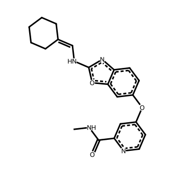 CNC(=O)c1cc(Oc2ccc3nc(NC=C4CCCCC4)oc3c2)ccn1